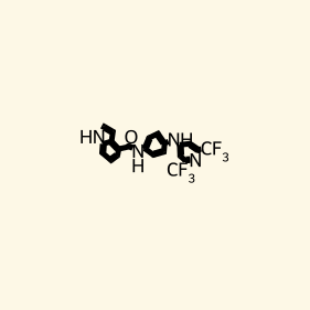 O=C(Nc1ccc(Nc2cc(C(F)(F)F)nc(C(F)(F)F)c2)cc1)c1cccc2[nH]ccc12